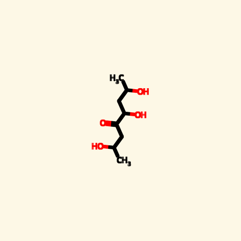 CC(O)CC(=O)C(O)CC(C)O